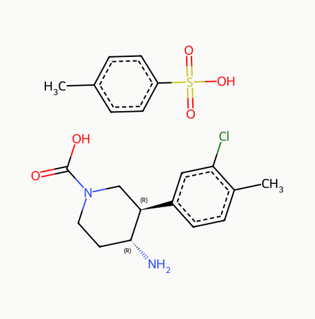 Cc1ccc(S(=O)(=O)O)cc1.Cc1ccc([C@@H]2CN(C(=O)O)CC[C@H]2N)cc1Cl